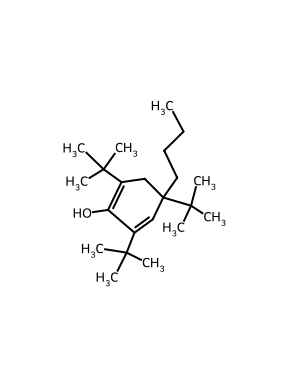 CCCCC1(C(C)(C)C)C=C(C(C)(C)C)C(O)=C(C(C)(C)C)C1